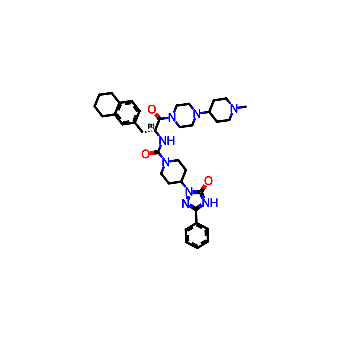 CN1CCC(N2CCN(C(=O)[C@@H](Cc3ccc4c(c3)CCCC4)NC(=O)N3CCC(n4nc(-c5ccccc5)[nH]c4=O)CC3)CC2)CC1